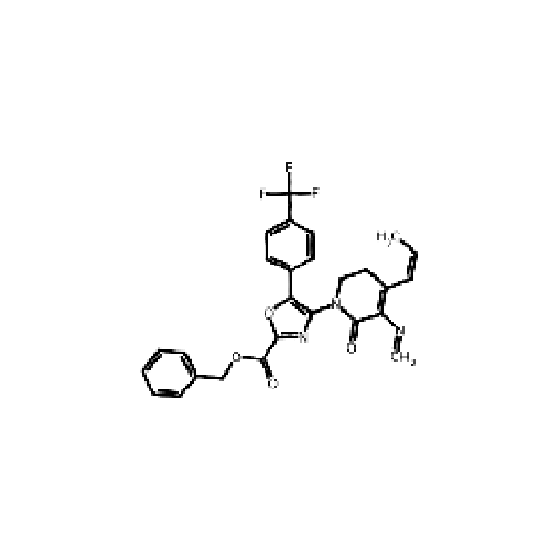 C=NC1=C(/C=C\C)CCN(c2nc(C(=O)OCc3ccccc3)oc2-c2ccc(C(F)(F)F)cc2)C1=O